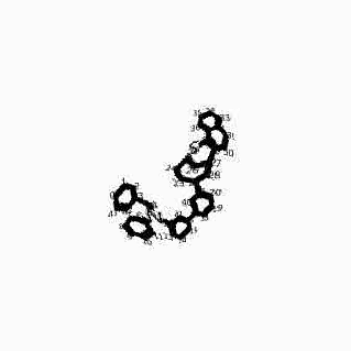 c1ccc(CN(c2ccccc2)c2cccc(-c3cccc(C4CCC5CC(C4)c4ccc6ccccc6c4S5)c3)c2)cc1